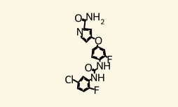 NC(=O)c1cc(Oc2ccc(NC(=O)Nc3cc(Cl)ccc3F)c(F)c2)ccn1